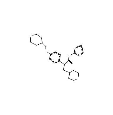 O=C(Nc1nccs1)C(CC1CCOCC1)c1ccc(SCC2CCOCC2)cc1